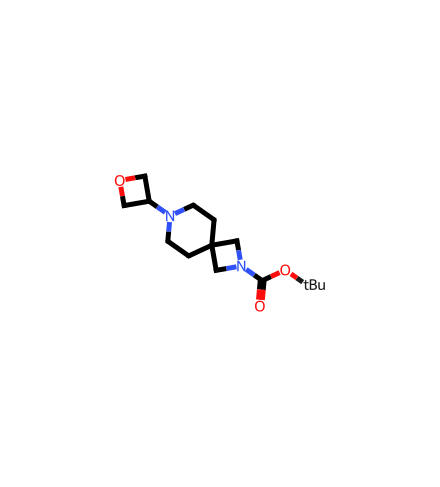 CC(C)(C)OC(=O)N1CC2(CCN(C3COC3)CC2)C1